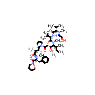 CC[C@H](C)[C@@H]([C@@H](CC(=O)N1CCC[C@H]1[C@H](OC)[C@@H](C)C(=O)N[C@@H](Cc1ccccc1)C(=O)N1CCCCO1)OC)N(C)C(=O)[C@@H](NC(=O)[C@H](C(C)C)N(C)CCO)C(C)C